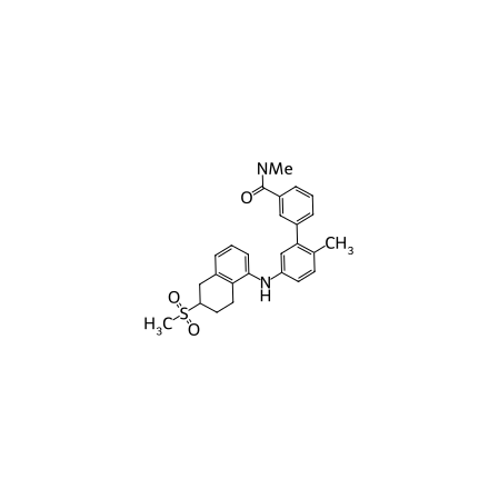 CNC(=O)c1cccc(-c2cc(Nc3cccc4c3CCC(S(C)(=O)=O)C4)ccc2C)c1